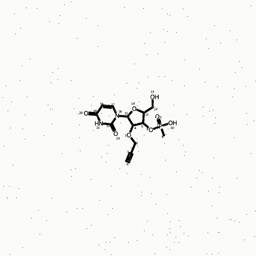 C#CCOC1C(OP(C)(=O)O)C(CO)OC1n1ccc(=O)[nH]c1=O